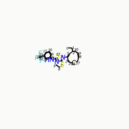 CCC1C=C(N=C2SCCN2C(=S)Nc2cccc(C(F)(F)F)c2)CCCCC=CC1